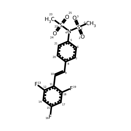 CS(=O)(=O)N(c1ccc(C=Cc2c(F)cc(F)cc2F)cc1)S(C)(=O)=O